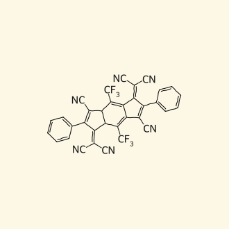 N#CC(C#N)=C1C2=C(C(F)(F)F)C3C(C#N)=C(c4ccccc4)C(=C(C#N)C#N)C3C(C(F)(F)F)=C2C(C#N)=C1c1ccccc1